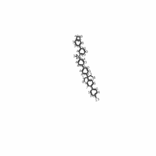 CCC(CC)(c1ccc(-c2ccc(C)cc2)cc1)c1ccc(-c2ccc(N(C)c3cccc(-c4ccc5c(c4)CC5)c3)cc2)cc1